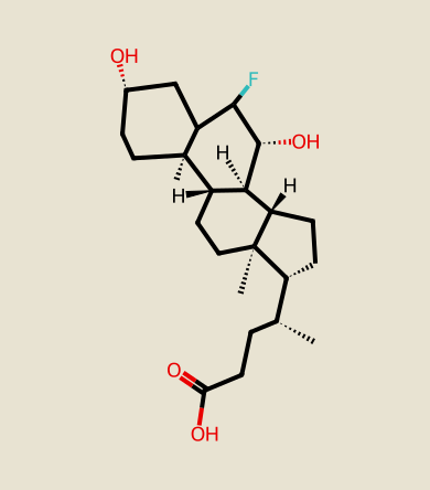 C[C@H](CCC(=O)O)[C@H]1CC[C@H]2[C@@H]3[C@@H](O)C(F)C4C[C@@H](O)CC[C@]4(C)[C@H]3CC[C@]12C